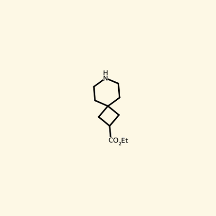 CCOC(=O)C1CC2(CCNCC2)C1